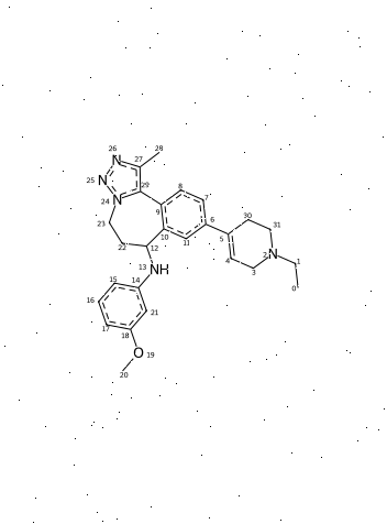 CCN1CC=C(c2ccc3c(c2)C(Nc2cccc(OC)c2)CCn2nnc(C)c2-3)CC1